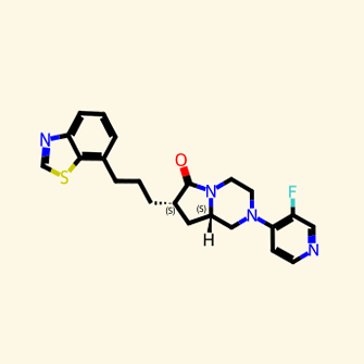 O=C1[C@@H](CCCc2cccc3ncsc23)C[C@H]2CN(c3ccncc3F)CCN12